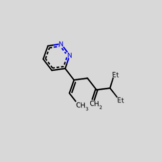 C=C(C/C(=C\C)c1cccnn1)C(CC)CC